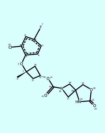 C[C@]1(Oc2ccc(F)cc2Cl)C[C@@H](OC(=O)N2CC3(COC(=O)N3)C2)C1